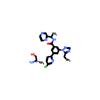 CCc1ncnn1-c1cc(C(=O)NC(C)c2cnccn2)cc(-c2ccc(Cl)cn2)c1.C[C@H](N)CO